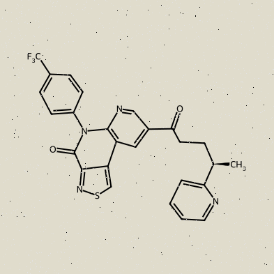 C[C@H](CCC(=O)c1cnc2c(c1)c1csnc1c(=O)n2-c1ccc(C(F)(F)F)cc1)c1ccccn1